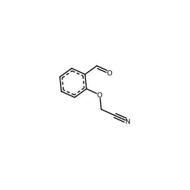 N#CCOc1ccccc1C=O